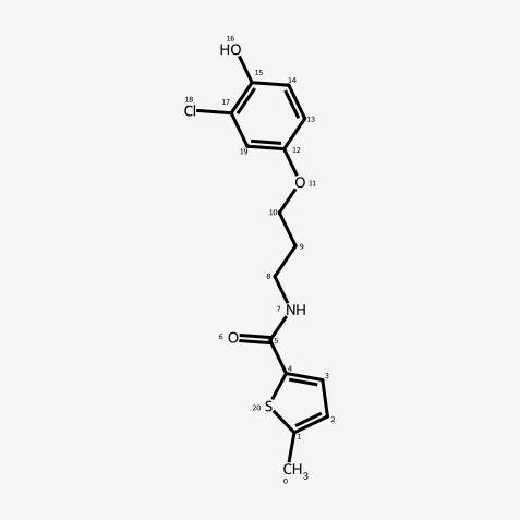 Cc1ccc(C(=O)NCCCOc2ccc(O)c(Cl)c2)s1